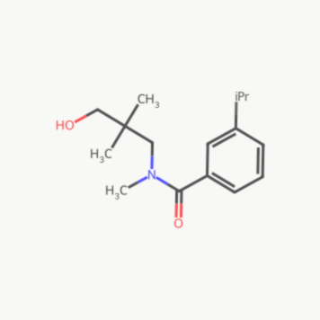 CC(C)c1cccc(C(=O)N(C)CC(C)(C)CO)c1